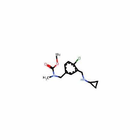 CN(Cc1ccc(Cl)c(CNC2CC2)c1)C(=O)OC(C)(C)C